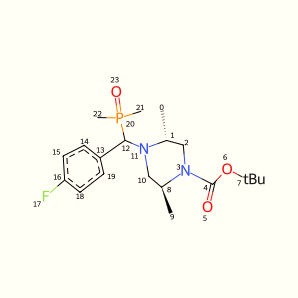 C[C@@H]1CN(C(=O)OC(C)(C)C)[C@@H](C)CN1C(c1ccc(F)cc1)P(C)(C)=O